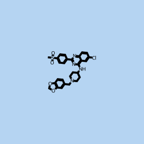 CS(=O)(=O)c1ccc(-c2nc(NC3CCN(Cc4ccc5c(c4)OCO5)CC3)c3cc(Cl)ccc3n2)cc1